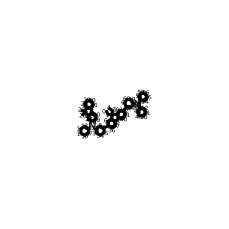 CCC1(CC)c2cc(C3=CC(N(C4=CCCC=C4)c4ccc5c(c4)C(C)(C)c4ccccc4-5)=CCC3)ccc2-c2ccc(C3=CC(N(c4ccccc4)c4ccccc4)=CCC3)cc21